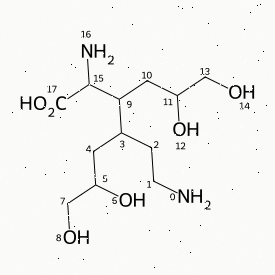 NCCC(CC(O)CO)C(CC(O)CO)C(N)C(=O)O